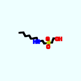 CCCCCCNCCS(=O)(=O)CCO